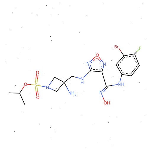 CC(C)OS(=O)(=O)N1CC(N)(CNc2nonc2/C(=N/O)Nc2ccc(F)c(Br)c2)C1